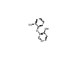 Oc1ccccc1Oc1nnccc1O